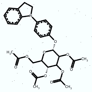 CC(=O)OCC1O[C@H](Oc2ccc(N3CCc4ccccc43)cc2)C(OC(C)=O)C(OC(C)=O)[C@@H]1OC(C)=O